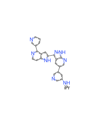 CC(C)Nc1cncc(-c2cnc3[nH]nc(-c4cc5c(-c6cccnc6)nccc5[nH]4)c3c2)c1